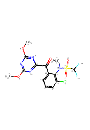 COc1nc(OC)nc(C(=O)c2cccc(Cl)c2N(C)S(=O)(=O)C(F)F)n1